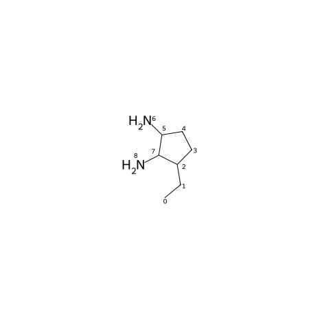 CCC1CCC(N)C1N